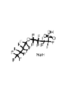 O=S(=O)(O)C(F)(F)C(F)(F)C(F)(F)C(F)(F)OC(F)(F)C(F)(F)C(F)(F)C(F)(F)F.[NaH]